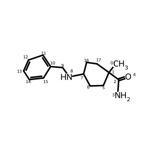 CC1(C(N)=O)CCC(NCc2ccccc2)CC1